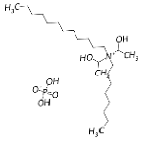 CCCCCCCCCCCC[N+](CCCCCCCC)(C(C)O)C(C)O.O=P([O-])(O)O